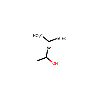 CC(=O)C(C)O.CCCCCCCC(=O)O